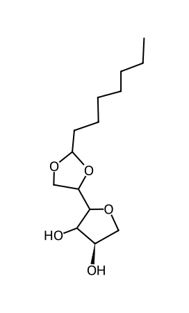 CCCCCCCC1OCC(C2OC[C@@H](O)C2O)O1